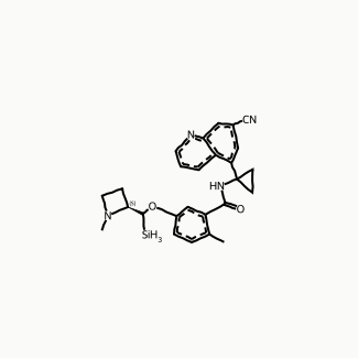 Cc1ccc(OC([SiH3])[C@@H]2CCN2C)cc1C(=O)NC1(c2cc(C#N)cc3ncccc23)CC1